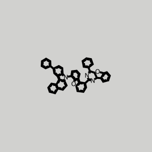 c1ccc(C2=NC(c3cccc4oc5c(-n6c7ccc(-c8ccccc8)cc7c7c8ccccc8ccc76)cccc5c34)=NC3c4ccccc4OC23)cc1